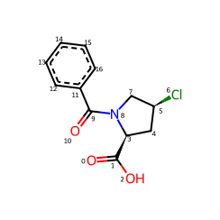 O=C(O)[C@@H]1C[C@H](Cl)CN1C(=O)c1ccccc1